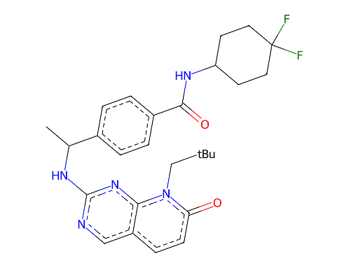 CC(Nc1ncc2ccc(=O)n(CC(C)(C)C)c2n1)c1ccc(C(=O)NC2CCC(F)(F)CC2)cc1